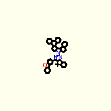 CC1(C)c2ccccc2-c2nc(-n3c4ccc5ccccc5c4c4c5c6ccccc6c6ccccc6c5ccc43)nc(-c3ccc4oc5ccccc5c4c3)c21